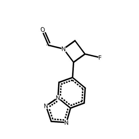 O=[C]N1CC(F)C1c1ccc2ncnn2c1